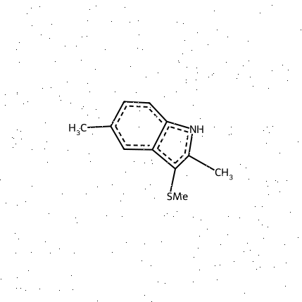 CSc1c(C)[nH]c2ccc(C)cc12